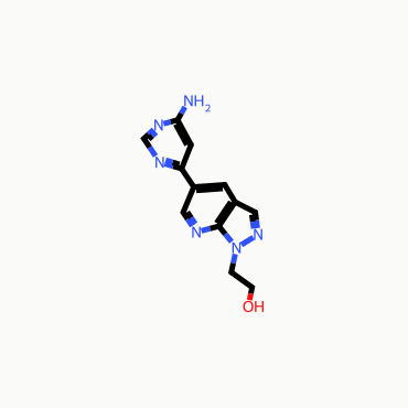 Nc1cc(-c2cnc3c(cnn3CCO)c2)ncn1